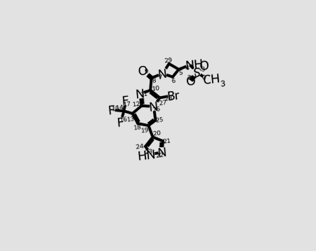 CS(=O)(=O)NC1CN(C(=O)c2nc3c(C(F)(F)F)cc(-c4cn[nH]c4)cn3c2Br)C1